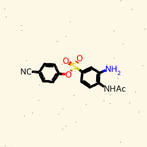 CC(=O)Nc1ccc(S(=O)(=O)Oc2ccc(C#N)cc2)cc1N